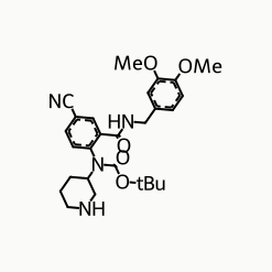 COc1ccc(CNC(=O)c2cc(C#N)ccc2N(C(=O)OC(C)(C)C)C2CCCNC2)cc1OC